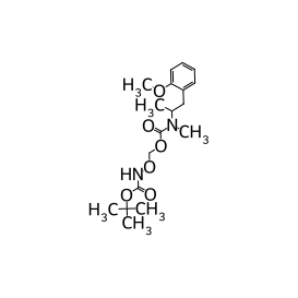 COc1ccccc1CC(C)N(C)C(=O)OCONC(=O)OC(C)(C)C